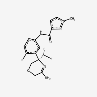 Cn1ccc(C(=O)Nc2ccc(F)c([C@]3(C(F)F)COCC(N)=N3)c2)n1